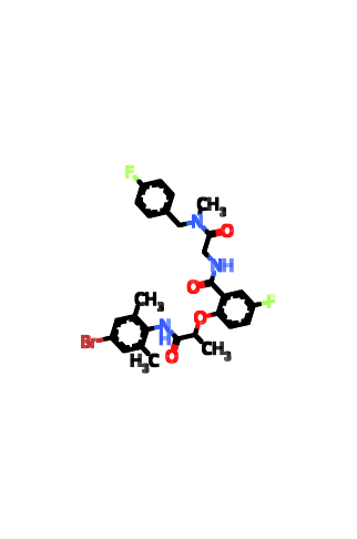 Cc1cc(Br)cc(C)c1NC(=O)C(C)Oc1ccc(F)cc1C(=O)NCC(=O)N(C)Cc1ccc(F)cc1